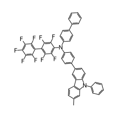 Cc1ccc2c3cc(-c4ccc(N(c5ccc(-c6ccccc6)cc5)c5c(F)c(F)c(-c6c(F)c(F)c(F)c(F)c6F)c(F)c5F)cc4)ccc3n(-c3ccccc3)c2c1